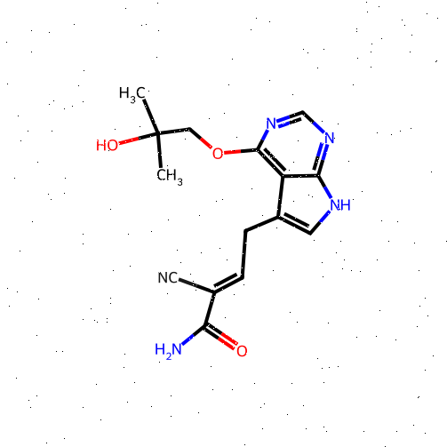 CC(C)(O)COc1ncnc2[nH]cc(C/C=C(\C#N)C(N)=O)c12